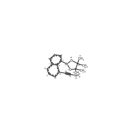 CC1(C)OB(c2cccc3cccc(C#C[SiH3])c23)OC1(C)C